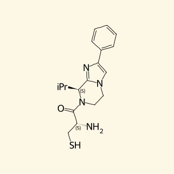 CC(C)[C@H]1c2nc(-c3ccccc3)cn2CCN1C(=O)[C@H](N)CS